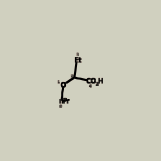 CCCOC(CC)C(=O)O